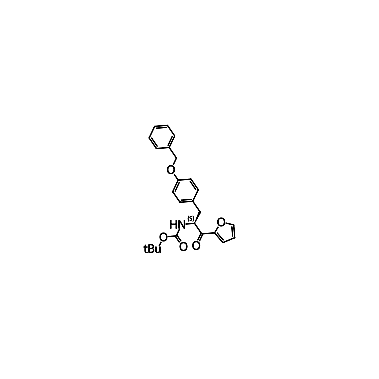 CC(C)(C)OC(=O)N[C@@H](Cc1ccc(OCc2ccccc2)cc1)C(=O)c1ccco1